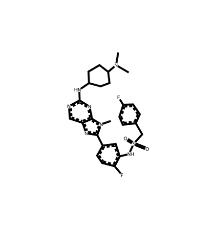 CN(C)C1CCC(Nc2ncc3nc(-c4ccc(F)c(NS(=O)(=O)Cc5ccc(F)cc5)c4)n(C)c3n2)CC1